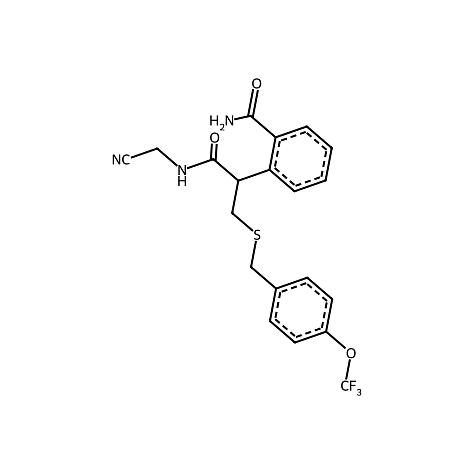 N#CCNC(=O)C(CSCc1ccc(OC(F)(F)F)cc1)c1ccccc1C(N)=O